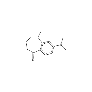 CC1CCCC(=O)c2ccc(N(C)C)cc21